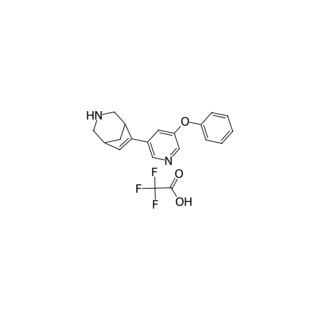 C1=C(c2cncc(Oc3ccccc3)c2)C2CNCC1C2.O=C(O)C(F)(F)F